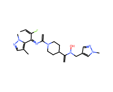 C=C(C1CCN(C(=C)/N=C(\C(F)=C/C)c2c(C)cnn2C)CC1)N(O)Cc1cnn(C)c1